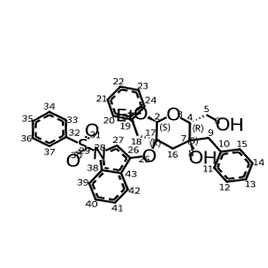 CCO[C@H]1O[C@H](CO)[C@](O)(Cc2ccccc2)C[C@@]1(Cc1ccccc1)Oc1cn(S(=O)(=O)c2ccccc2)c2ccccc12